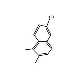 Cc1ccc2cc(O)ccc2c1C